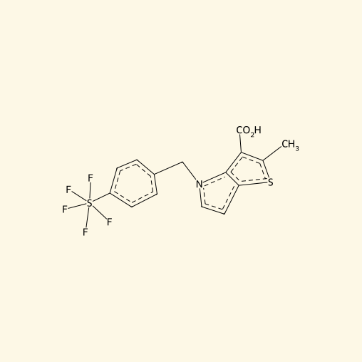 Cc1sc2ccn(Cc3ccc(S(F)(F)(F)(F)F)cc3)c2c1C(=O)O